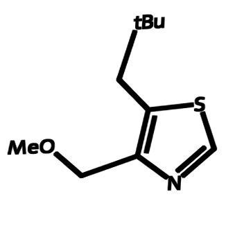 COCc1ncsc1CC(C)(C)C